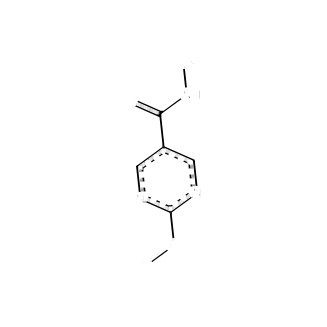 CC(C)Oc1ncc(C(=O)NC(C)(C)C)cn1